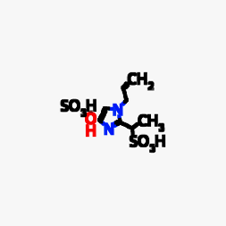 C=CCn1ccnc1C(C)S(=O)(=O)O.O=S(=O)(O)O